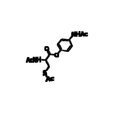 CC(=O)Nc1ccc(OC(=O)C(CSC(C)=O)NC(C)=O)cc1